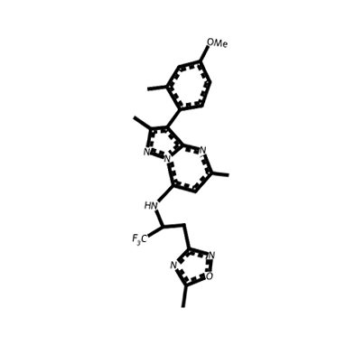 COc1ccc(-c2c(C)nn3c(NC(Cc4noc(C)n4)C(F)(F)F)cc(C)nc23)c(C)c1